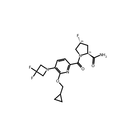 NC(=O)[C@@H]1C[C@@H](F)CN1C(=O)c1ccc(N2CC(F)(F)C2)c(OCC2CC2)n1